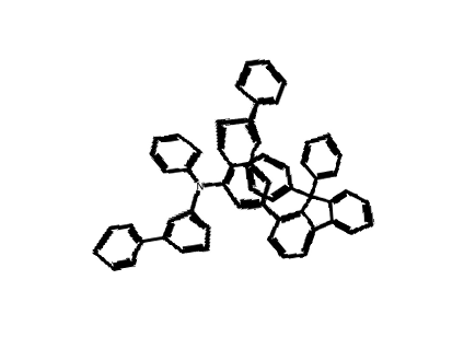 c1ccc(-c2cccc(N(c3ccccc3)c3cc(-c4cccc5c4C(c4ccccc4)(c4ccccc4)c4ccccc4-5)cc4cc(-c5ccccc5)ccc34)c2)cc1